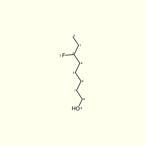 CCC(F)CCCCCO